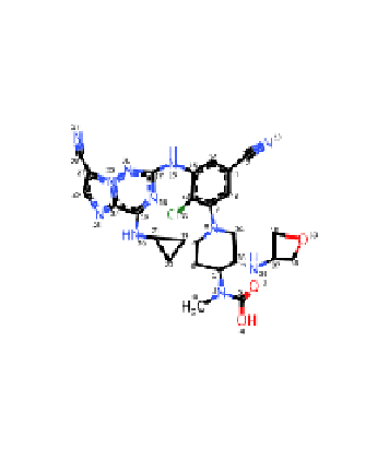 CN(C(=O)O)[C@H]1CCN(c2cc(C#N)cc(Nc3nc(NC4CC4)c4ncc(C#N)n4n3)c2Cl)C[C@@H]1NC1COC1